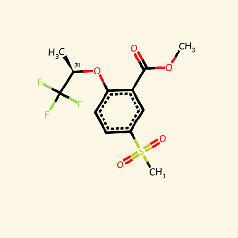 COC(=O)c1cc(S(C)(=O)=O)ccc1O[C@H](C)C(F)(F)F